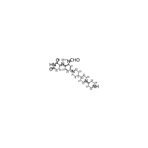 CN(C=O)c1cc(N2CCC(C3CCN(C4CCNCC4)CC3)CC2)ccc1N(C)C1CCC(=O)NC1=O